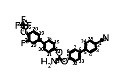 N#Cc1ccc(-c2ccc(OC(N)Oc3ccc(-c4ccc(OC(F)(F)F)c(F)c4)cc3)cc2)cc1